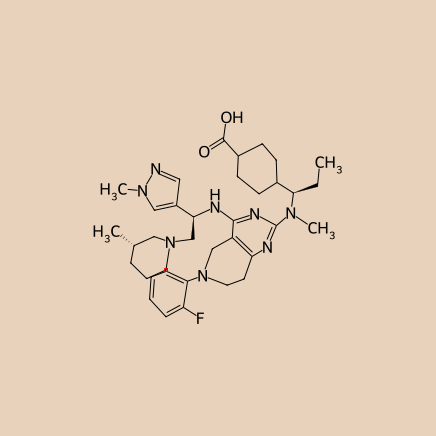 CC[C@H](C1CCC(C(=O)O)CC1)N(C)c1nc2c(c(N[C@@H](CN3CCC[C@H](C)C3)c3cnn(C)c3)n1)CN(c1ccccc1F)CC2